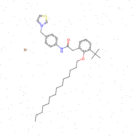 CCCCCCCCCCCCCCOc1c(CC(=O)Nc2ccc(C[n+]3ccsc3)cc2)cccc1C(C)(C)C.[Br-]